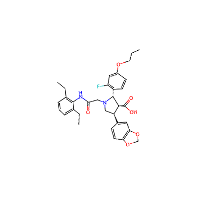 CCCOc1ccc([C@@H]2[C@@H](C(=O)O)[C@@H](c3ccc4c(c3)OCO4)CN2CC(=O)Nc2c(CC)cccc2CC)c(F)c1